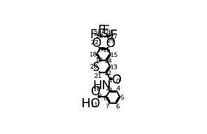 O=C(Nc1ccccc1C(=O)O)C1=Cc2cc3c(cc2SC1)OC(F)(F)C(F)(F)O3